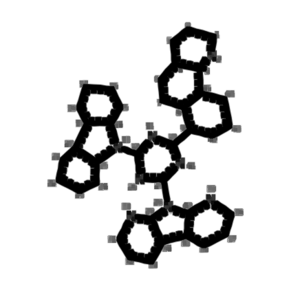 c1cnc2c(c1)ccc1c(-c3nc(-n4c5ccccc5c5ccccc54)nc(-n4c5ncccc5c5cccnc54)n3)cccc12